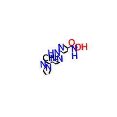 Cc1nc2ccccn2c1-c1ccnc(Nc2ccc(C(=O)NO)cn2)n1